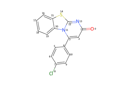 O=c1cc(-c2ccc(Cl)cc2)n2c(n1)sc1ccccc12